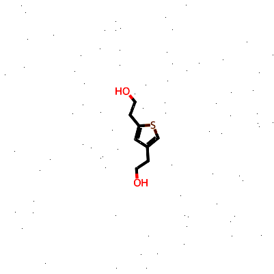 OCCc1csc(CCO)c1